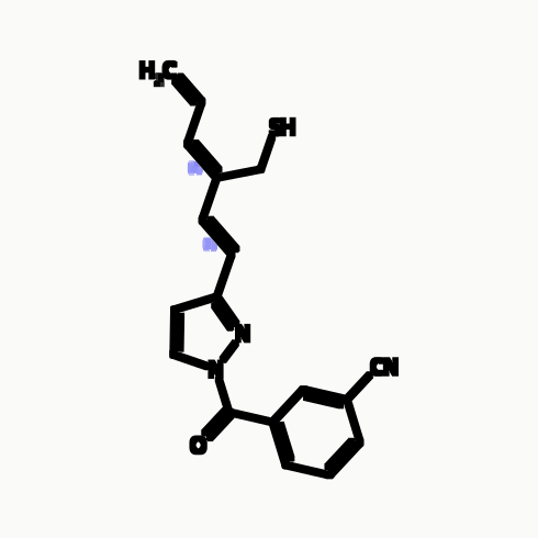 C=C/C=C(/C=C/c1ccn(C(=O)c2cccc(C#N)c2)n1)CS